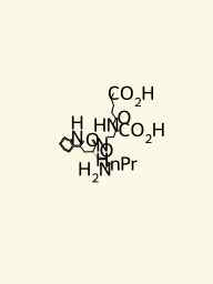 CCC[C@H](N)C(=O)C[C@H](Cc1c[nH]c2ccccc12)C(=O)NCC[C@@H](NC(=O)CCCC(=O)O)C(=O)O